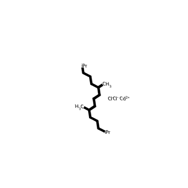 CC(C)CCCC(C)CCCC(C)CCCC(C)C.[Cd+2].[Cl-].[Cl-]